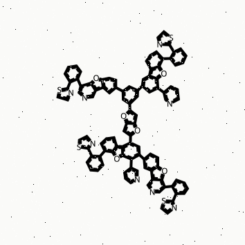 c1cncc(-c2cc(-c3cc(-c4ccc5oc6c(-c7ccccc7-c7nccs7)cncc6c5c4)cc(-c4cc5oc(-c6cc(-c7ccc8oc9c(-c%10ccccc%10-c%10nccs%10)cncc9c8c7)c(-c7cccnc7)c7oc8c(-c9ccccc9-c9nccs9)cccc8c67)cc5o4)c3)cc3c2oc2c(-c4ccccc4-c4nccs4)cccc23)c1